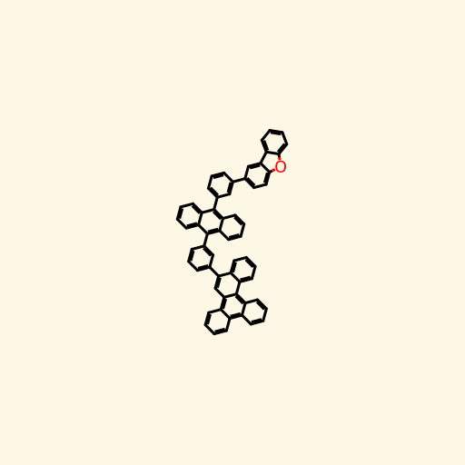 c1cc(-c2ccc3oc4ccccc4c3c2)cc(-c2c3ccccc3c(-c3cccc(-c4cc5c6ccccc6c6ccccc6c5c5ccccc45)c3)c3ccccc23)c1